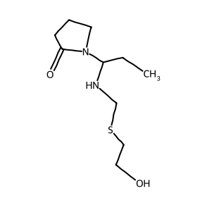 CCC(NCSCCO)N1CCCC1=O